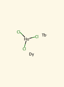 [Cl][Ho]([Cl])[Cl].[Dy].[Tb]